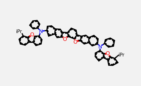 CC(C)c1cccc2c1oc1c(N(c3ccccc3)c3ccc4cc5c(cc4c3)oc3c5ccc4c5cc6ccc(N(c7ccccc7)c7cccc8c7oc7c(C(C)C)cccc78)cc6cc5oc43)cccc12